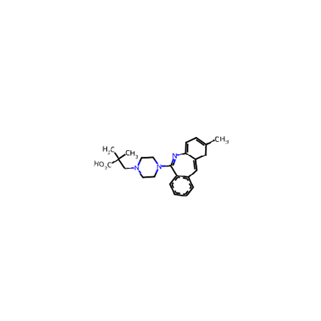 CC1=CC=C2N=C(N3CCN(CC(C)(C)C(=O)O)CC3)c3ccccc3C=C2C1